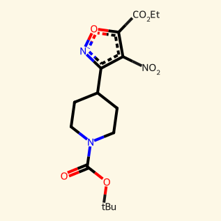 CCOC(=O)c1onc(C2CCN(C(=O)OC(C)(C)C)CC2)c1[N+](=O)[O-]